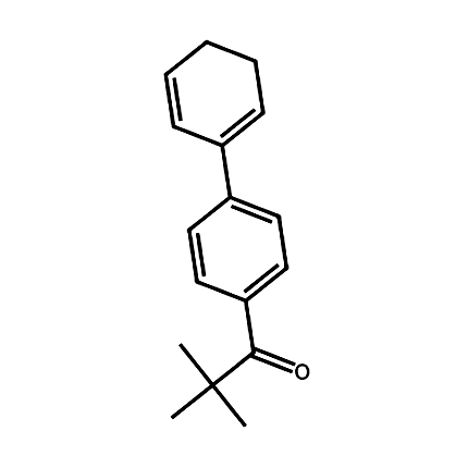 CC(C)(C)C(=O)c1ccc(C2=CCCC=C2)cc1